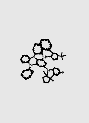 CC(C)(C)c1ccc(N2c3ccccc3B3c4ccccc4N(c4ccccc4)c4cc(N5c6ccc(F)cc6C6(C)CCCC56C)cc2c43)c(-c2ccccc2)c1